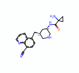 N#Cc1ccc(C[C@@H]2CNC[C@H](NC(=O)C3(N)CC3)C2)c2cccnc12